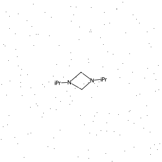 CC(C)N1CN(C(C)C)C1